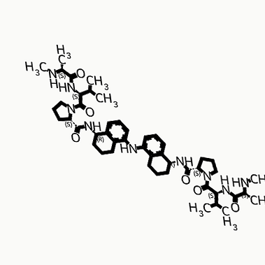 CN[C@@H](C)C(=O)N[C@H](C(=O)N1CCC[C@H]1C(=O)N[C@@H]1CCCc2c(Nc3cccc4c3CCC[C@H]4NC(=O)[C@@H]3CCCN3C(=O)[C@@H](NC(=O)[C@H](C)NC)C(C)C)cccc21)C(C)C